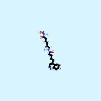 O=C(/C=C/C=C/c1ccnc2ccccc12)NCCCCCC(=O)NO